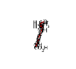 CC(C)CCC[C@@H](C)[C@H]1CC[C@H]2[C@@H]3CC=C4C[C@@H](OC(=O)NCCOCCOCCOCCOCCOCCOCCOCCNC(=O)CCC(=O)O)CC[C@]4(C)[C@H]3CC[C@]12C